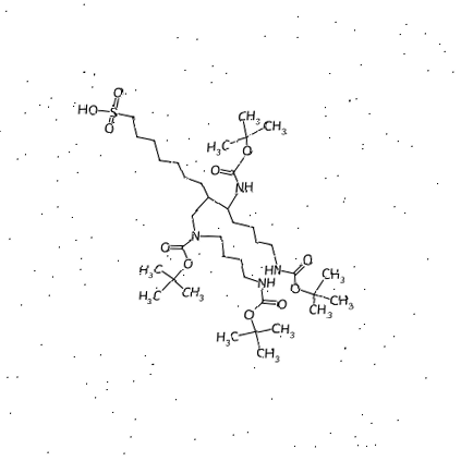 CC(C)(C)OC(=O)NCCCCC(NC(=O)OC(C)(C)C)C(CCCCCCCS(=O)(=O)O)CN(CCCCNC(=O)OC(C)(C)C)C(=O)OC(C)(C)C